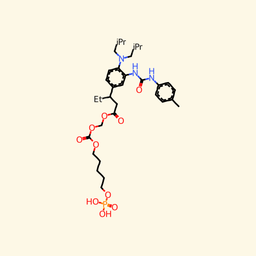 CCC(CC(=O)OCOC(=O)OCCCCCOP(=O)(O)O)c1ccc(N(CC(C)C)CC(C)C)c(NC(=O)Nc2ccc(C)cc2)c1